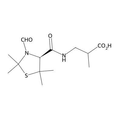 CC(CNC(=O)[C@@H]1N(C=O)C(C)(C)SC1(C)C)C(=O)O